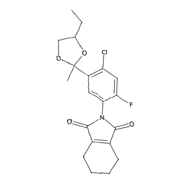 CCC1COC(C)(c2cc(N3C(=O)C4=C(CCCC4)C3=O)c(F)cc2Cl)O1